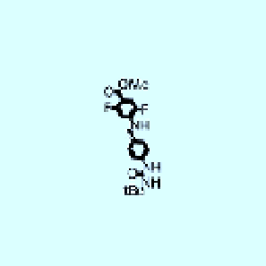 COC(=O)c1cc(F)c(NSc2ccc(NC(=O)NC(C)(C)C)cc2)cc1F